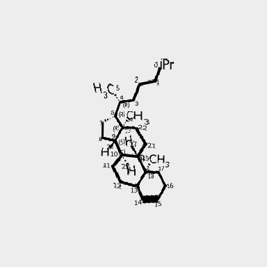 CC(C)CCC[C@@H](C)[C@H]1CC[C@H]2[C@@H]3CCC4C#CCC[C@]4(C)[C@H]3CC[C@]12C